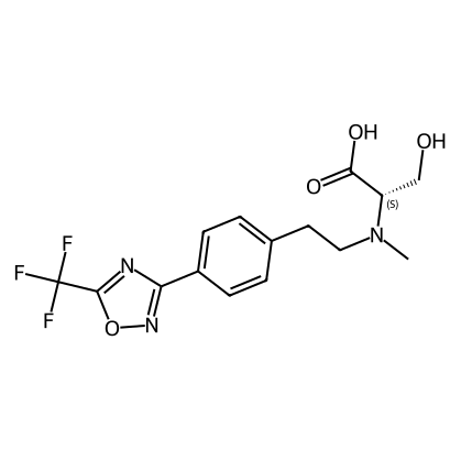 CN(CCc1ccc(-c2noc(C(F)(F)F)n2)cc1)[C@@H](CO)C(=O)O